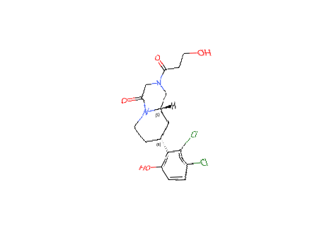 O=C(CCO)N1CC(=O)N2CC[C@@H](c3c(O)ccc(Cl)c3Cl)C[C@H]2C1